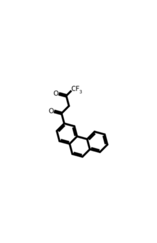 O=C(CC(=O)C(F)(F)F)c1ccc2ccc3ccccc3c2c1